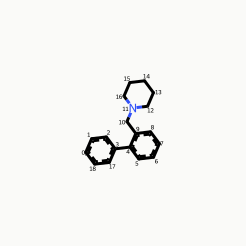 [c]1ccc(-c2ccccc2CN2CCCCC2)cc1